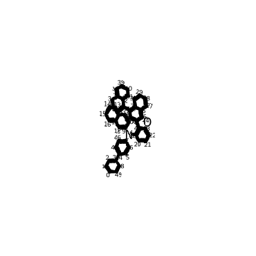 c1ccc(-c2ccc(N(c3ccc4ccccc4c3)c3cccc4oc5c6ccccc6c(-c6cccc7ccccc67)cc5c34)cc2)cc1